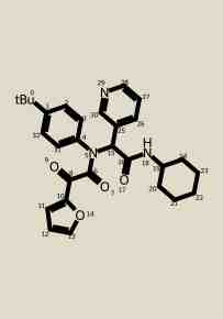 CC(C)(C)c1ccc(N(C(=O)C(=O)c2ccco2)C(C(=O)NC2CCCCC2)c2cccnc2)cc1